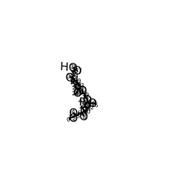 CCOC(=O)CCC(=O)N1Cc2cc(OC)c(OCCCOc3cc4c(cc3OC)CN(C(=O)CCC(=O)O)C4)c(F)c2C1